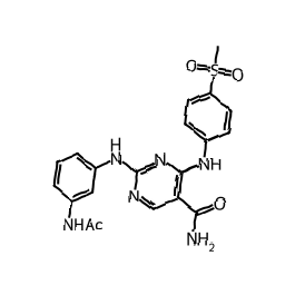 CC(=O)Nc1cccc(Nc2ncc(C(N)=O)c(Nc3ccc(S(C)(=O)=O)cc3)n2)c1